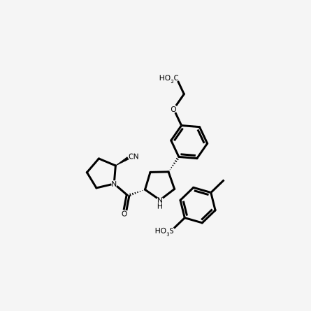 Cc1ccc(S(=O)(=O)O)cc1.N#C[C@@H]1CCCN1C(=O)[C@@H]1C[C@H](c2cccc(OCC(=O)O)c2)CN1